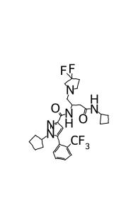 O=C(CC(CN1CCC(F)(F)C1)NC(=O)c1cc(-c2ccccc2C(F)(F)F)n(C2CCCC2)n1)NC1CCC1